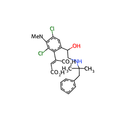 CNc1c(Cl)cc(C(O)CNC(C)(C)Cc2ccccc2)c(/C(=C/C(=O)O)C(=O)O)c1Cl